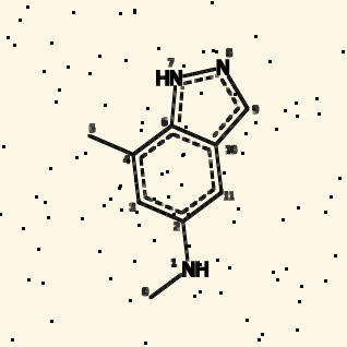 CNc1cc(C)c2[nH]ncc2c1